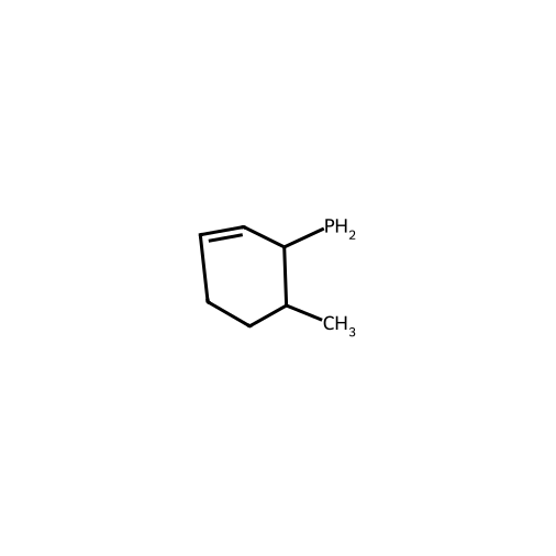 CC1CCC=CC1P